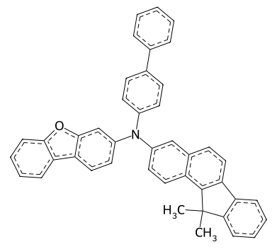 CC1(C)c2ccccc2-c2ccc3cc(N(c4ccc(-c5ccccc5)cc4)c4ccc5c(c4)oc4ccccc45)ccc3c21